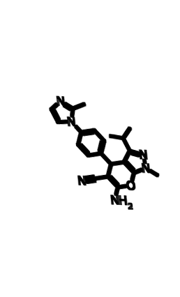 Cc1nccn1-c1ccc(C2C(C#N)=C(N)Oc3c2c(C(C)C)nn3C)cc1